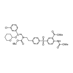 COC(=O)Nc1ccc(S(=O)(=O)c2ccc(CCN(C[C@@H](OC3CCCCO3)c3cccc(Cl)c3)C(=O)OC(C)(C)C)cc2)cc1C(=O)OC